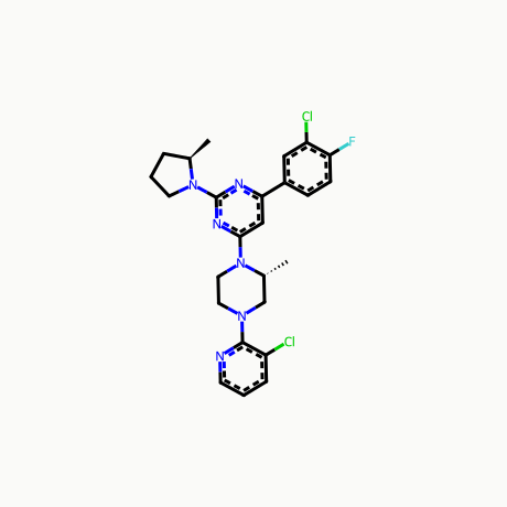 C[C@@H]1CN(c2ncccc2Cl)CCN1c1cc(-c2ccc(F)c(Cl)c2)nc(N2CCC[C@H]2C)n1